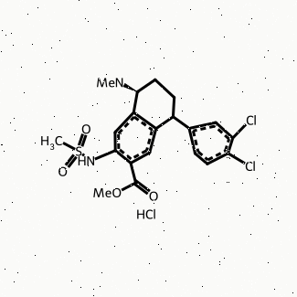 CN[C@H]1CCC(c2ccc(Cl)c(Cl)c2)c2cc(C(=O)OC)c(NS(C)(=O)=O)cc21.Cl